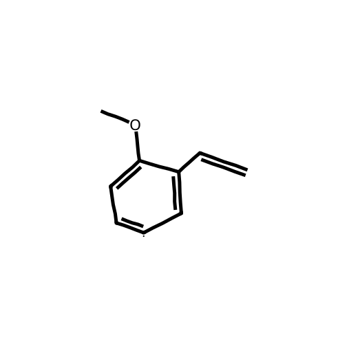 C=Cc1c[c]ccc1OC